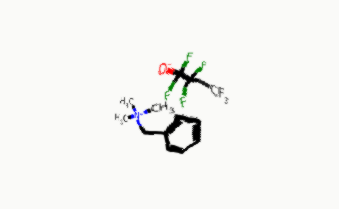 C[N+](C)(C)Cc1ccccc1.[O-]C(F)(F)C(F)(F)C(F)(F)F